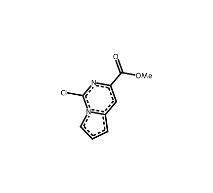 COC(=O)c1cc2cccn2c(Cl)n1